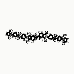 O=C1C=CC(=O)N1c1ccc(S(=O)(=O)c2ccc(N3C(=O)c4ccc(C(c5ccc6c(c5)C(=O)N(c5ccc(S(=O)(=O)c7ccc(N8C(=O)C=CC8=O)cc7)cc5)C6=O)(C(F)(F)F)C(F)(F)F)cc4C3=O)cc2)cc1